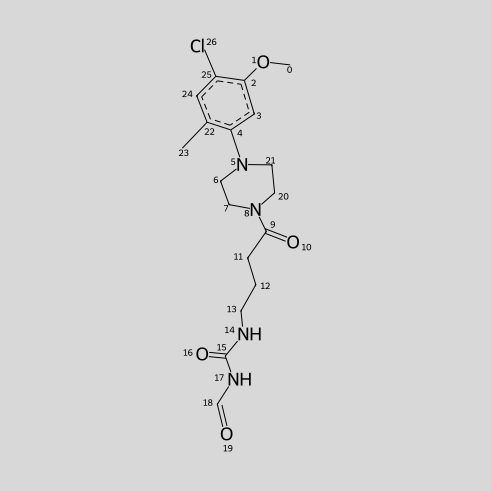 COc1cc(N2CCN(C(=O)CCCNC(=O)NC=O)CC2)c(C)cc1Cl